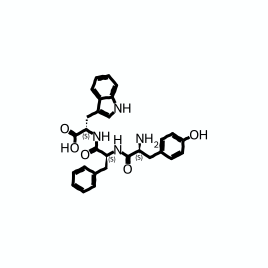 N[C@@H](Cc1ccc(O)cc1)C(=O)N[C@@H](Cc1ccccc1)C(=O)N[C@@H](Cc1c[nH]c2ccccc12)C(=O)O